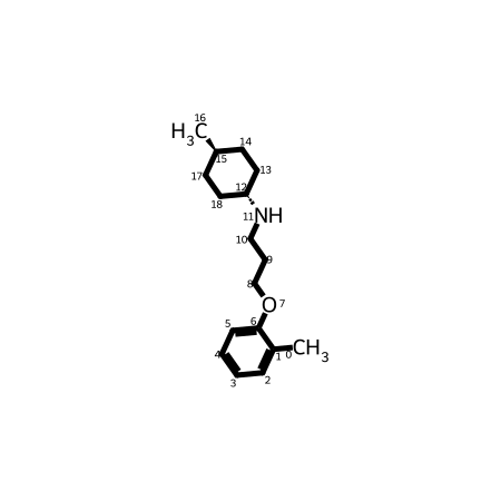 Cc1ccccc1OCCCN[C@H]1CC[C@H](C)CC1